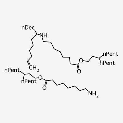 C=CCCCCC(CCCCCCCCCC)NCCCCCCCC(=O)OCCC(CCCCC)CCCCC.CCCCCC(CCCCC)CCOC(=O)CCCCCCCN